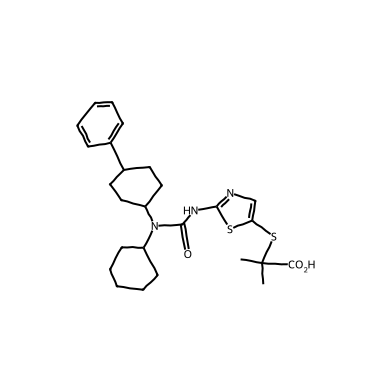 CC(C)(Sc1cnc(NC(=O)N(C2CCCCC2)C2CCC(c3ccccc3)CC2)s1)C(=O)O